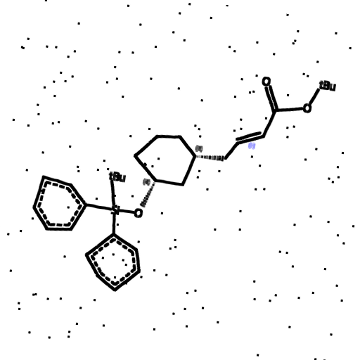 CC(C)(C)OC(=O)/C=C/C[C@H]1CCC[C@@H](O[Si](c2ccccc2)(c2ccccc2)C(C)(C)C)C1